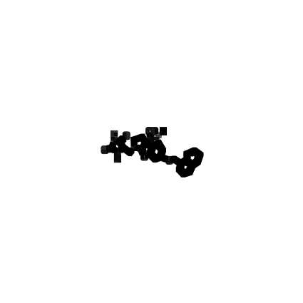 O=C(O)NC1(c2ccc(OCc3cccc4ccccc34)cc2)CCN(CC2NC(=O)NC2=O)C1=O